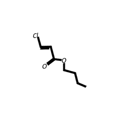 CCCCOC(=O)C=CCl